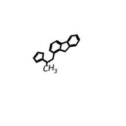 C[C](Cc1cccc2c1Cc1ccccc1-2)C1=CC=CC1